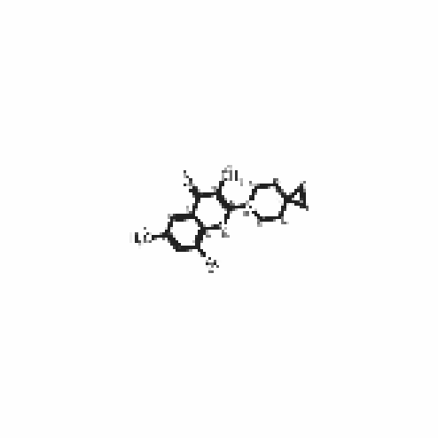 CC(=O)c1cc(C)cc2c(=O)c(C)c(N3CCC4(CC3)CC4)oc12